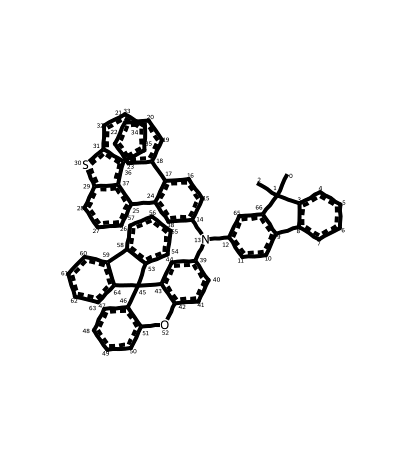 CC1(C)c2ccccc2-c2ccc(N(c3ccc(-c4ccccc4)c(-c4cccc5sc6ccccc6c45)c3)c3ccc4c(c3)C3(c5ccccc5O4)c4ccccc4-c4ccccc43)cc21